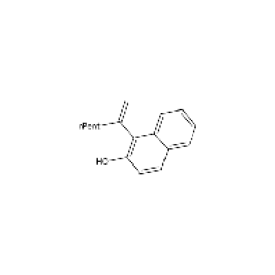 C=C(CCCCC)c1c(O)ccc2ccccc12